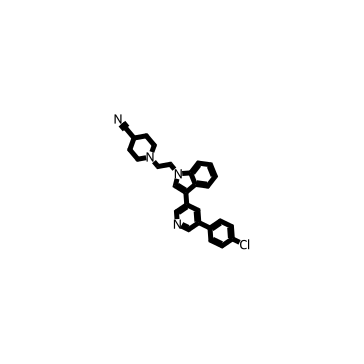 N#CC1CCN(CCn2cc(-c3cncc(-c4ccc(Cl)cc4)c3)c3ccccc32)CC1